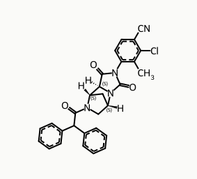 Cc1c(N2C(=O)[C@@H]3[C@@H]4C[C@@H](CN4C(=O)C(c4ccccc4)c4ccccc4)N3C2=O)ccc(C#N)c1Cl